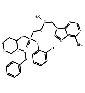 C[C@H](Cn1cnc2c(N)ncnc21)OCP(=O)(Oc1ccccc1Cl)OC1CSSC[C@@H]1OCc1ccccc1